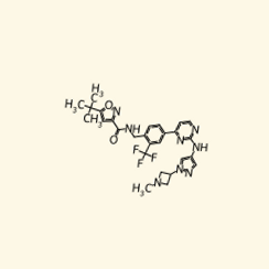 CN1CC(n2cc(Nc3nccc(-c4ccc(CNC(=O)c5cc(C(C)(C)C)on5)c(C(F)(F)F)c4)n3)cn2)C1